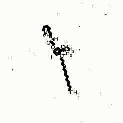 CCCCCCCCCCCCCCOc1ccc(OCC(=O)NCCc2cccc[n+]2C)cc1C(C)(C)C.[I-]